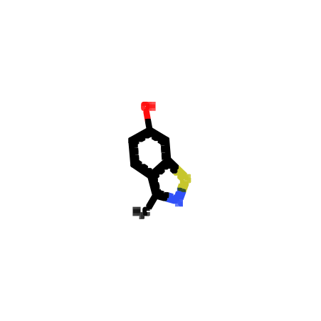 Cc1nsc2cc(O)ccc12